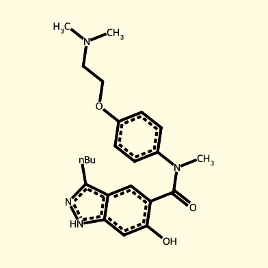 CCCCc1n[nH]c2cc(O)c(C(=O)N(C)c3ccc(OCCN(C)C)cc3)cc12